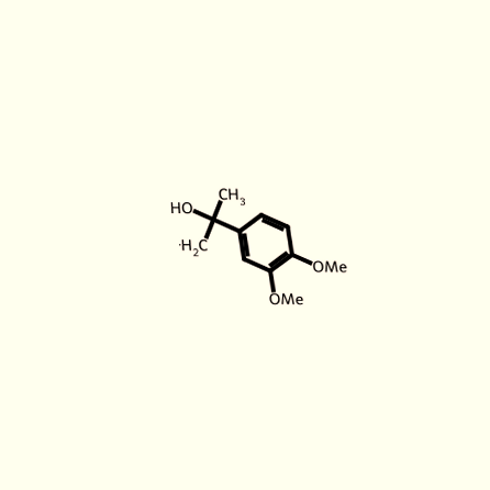 [CH2]C(C)(O)c1ccc(OC)c(OC)c1